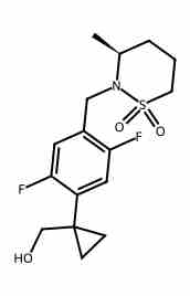 C[C@H]1CCCS(=O)(=O)N1Cc1cc(F)c(C2(CO)CC2)cc1F